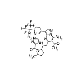 CC(=O)c1c(CC[C@H]2CC[C@@H](C)N2C(=O)c2nnc[nH]2)nc2c(-c3ccc(C(N)(C(F)(F)F)C(F)(F)F)nc3)cnn2c1N